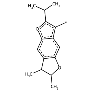 CC(C)c1oc2cc3c(cc2c1F)OC(C)C3C